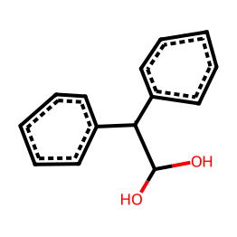 OC(O)[C](c1ccccc1)c1ccccc1